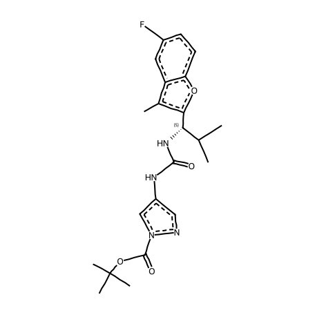 Cc1c([C@@H](NC(=O)Nc2cnn(C(=O)OC(C)(C)C)c2)C(C)C)oc2ccc(F)cc12